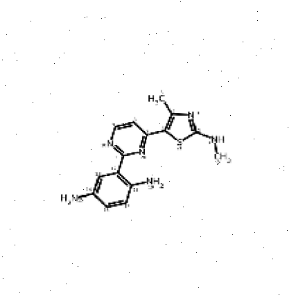 CNc1nc(C)c(-c2ccnc(-c3cc(N)ccc3N)n2)s1